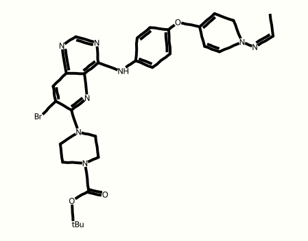 C/C=N\N1C=CC(Oc2ccc(Nc3ncnc4cc(Br)c(N5CCN(C(=O)OC(C)(C)C)CC5)nc34)cc2)=CC1